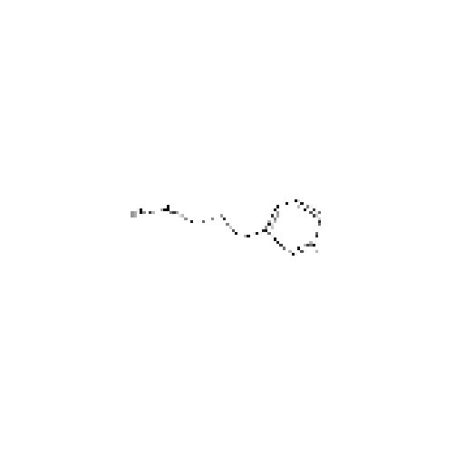 CC(C)OCCCc1cccnc1